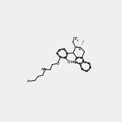 C[C@@H]1Cc2c([nH]c3ccccc23)C(c2cccc(OCCNCCCF)c2Cl)N1CC(F)(F)F